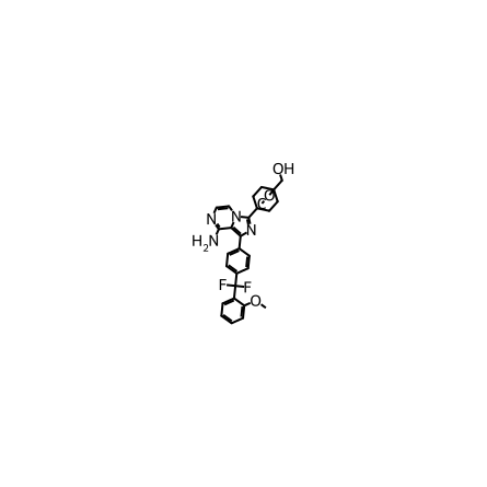 COc1ccccc1C(F)(F)c1ccc(-c2nc(C34CCC(CO)(CC3)OC4)n3ccnc(N)c23)cc1